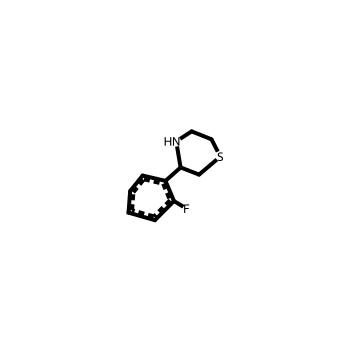 Fc1ccccc1C1CSCCN1